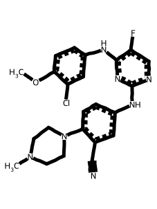 COc1ccc(Nc2nc(Nc3ccc(N4CCN(C)CC4)c(C#N)c3)ncc2F)cc1Cl